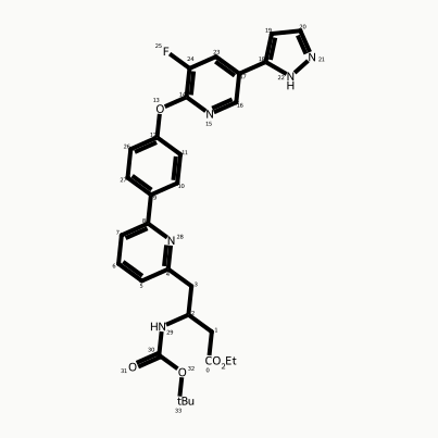 CCOC(=O)CC(Cc1cccc(-c2ccc(Oc3ncc(-c4ccn[nH]4)cc3F)cc2)n1)NC(=O)OC(C)(C)C